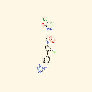 O=C(NC[C@H]1CN(c2ccc(-c3ccc(Cn4cnnn4)cc3)c(F)c2)C(=O)O1)C(Cl)Cl